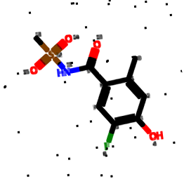 Cc1cc(O)c(F)cc1C(=O)NS(C)(=O)=O